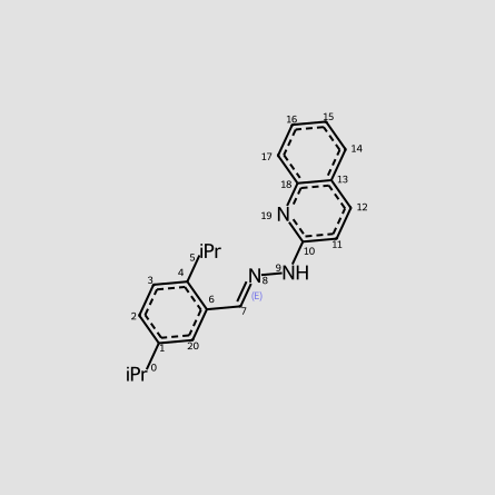 CC(C)c1ccc(C(C)C)c(/C=N/Nc2ccc3ccccc3n2)c1